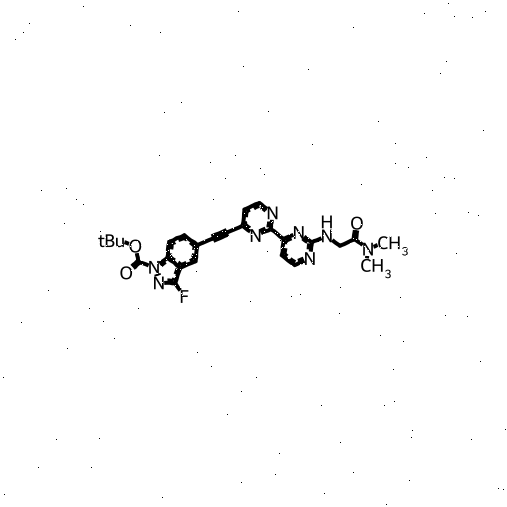 CN(C)C(=O)CNc1nccc(-c2nccc(C#Cc3ccc4c(c3)c(F)nn4C(=O)OC(C)(C)C)n2)n1